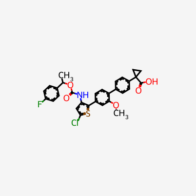 COc1cc(-c2sc(Cl)cc2NC(=O)OC(C)c2ccc(F)cc2)ccc1-c1ccc(C2(C(=O)O)CC2)cc1